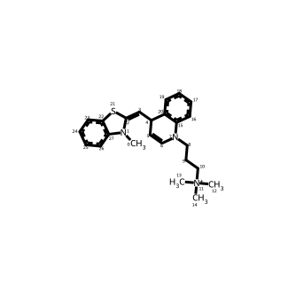 CN1C(=CC2C=CN(CCC[N+](C)(C)C)c3ccccc32)Sc2ccccc21